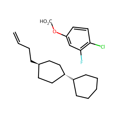 C=CCC[C@H]1CC[C@H](C2CCCCC2)CC1.O=C(O)Oc1ccc(Cl)c(F)c1